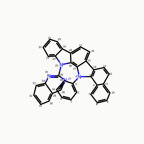 c1ccc(-n2c3c4ccccc4ccc3c3ccc4c5ccccc5n(-c5ncc6ccccc6n5)c4c32)cc1